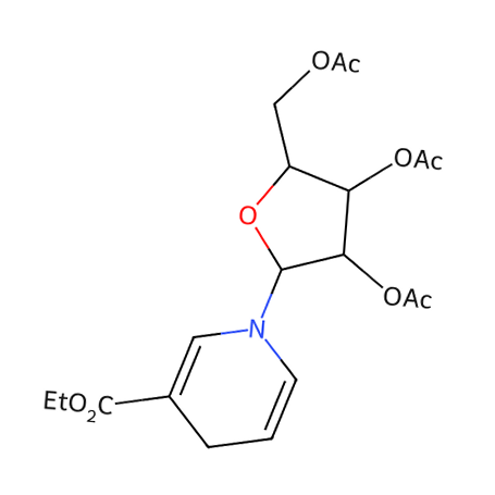 CCOC(=O)C1=CN(C2OC(COC(C)=O)C(OC(C)=O)C2OC(C)=O)C=CC1